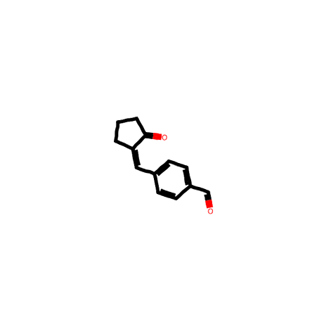 O=Cc1ccc(C=C2CCCC2=O)cc1